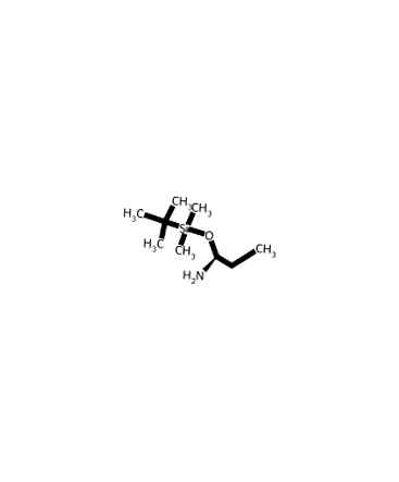 CC[C@@H](N)O[Si](C)(C)C(C)(C)C